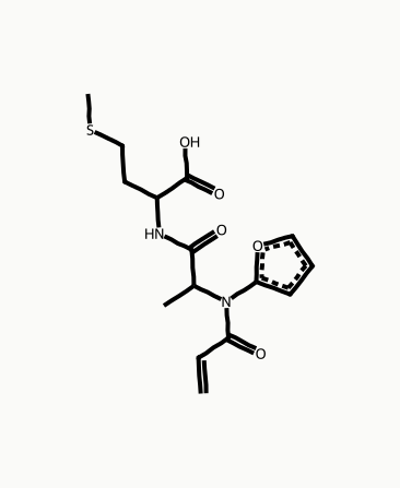 C=CC(=O)N(c1ccco1)C(C)C(=O)NC(CCSC)C(=O)O